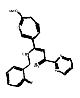 COC1=NC=C(/C(=C/C(=N)c2ncccn2)NCc2ccccc2F)C=CC1